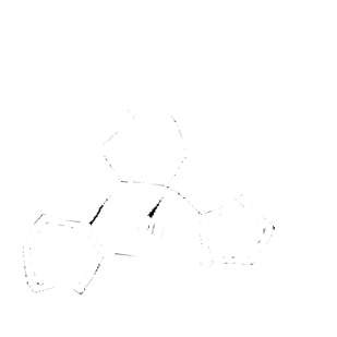 CN1CC[C@](O)(c2ccco2)[C@@H](c2ccccc2F)C1